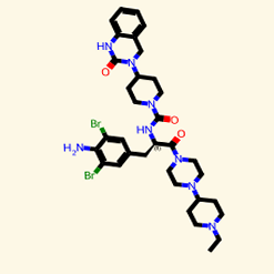 CCN1CCC(N2CCN(C(=O)[C@@H](Cc3cc(Br)c(N)c(Br)c3)NC(=O)N3CCC(N4Cc5ccccc5NC4=O)CC3)CC2)CC1